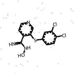 N=C(NO)c1ccncc1Sc1ccc(Cl)c(Cl)c1